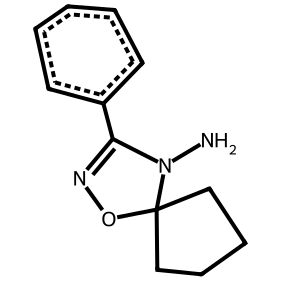 NN1C(c2ccccc2)=NOC12CCCC2